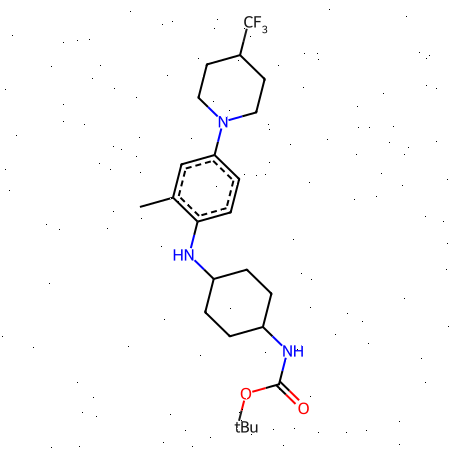 Cc1cc(N2CCC(C(F)(F)F)CC2)ccc1NC1CCC(NC(=O)OC(C)(C)C)CC1